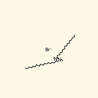 CCCCCCCCCCCCCCCCC1CN(CC)C(CCCCCCCCCCCCCCC)=[N+]1C.[Br-]